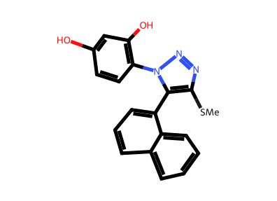 CSc1nnn(-c2ccc(O)cc2O)c1-c1cccc2ccccc12